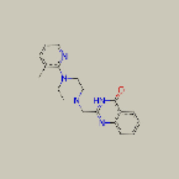 Cc1cccnc1N1CCN(Cc2nc3ccccc3c(=O)[nH]2)CC1